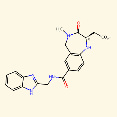 CN1Cc2cc(C(=O)NCc3nc4ccccc4[nH]3)ccc2N[C@H](CC(=O)O)C1=O